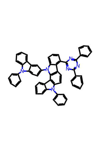 c1ccc(-c2nc(-c3ccccc3)nc(-c3cccc4c3c3ccc5c(c6ccccc6n5-c5ccccc5)c3n4-c3ccc4c(c3)c3ccccc3n4-c3ccccc3)n2)cc1